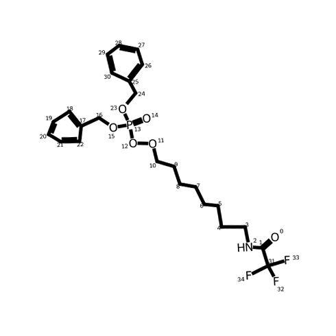 O=C(NCCCCCCCCOOP(=O)(OCc1ccccc1)OCc1ccccc1)C(F)(F)F